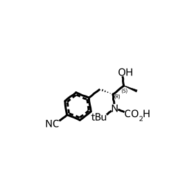 C[C@H](O)[C@@H](Cc1ccc(C#N)cc1)N(C(=O)O)C(C)(C)C